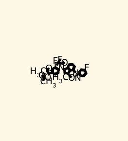 CCOc1nc2ccc(F)cc2n1-c1cccc2c1CCC2N(C(=O)C(F)(F)F)c1ccc2c(c1)OC(C)[C@H]2OC(C)=O